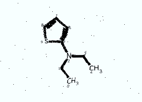 CCN(CC)c1cccs1